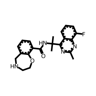 Cc1nc(C(C)(C)NC(=O)c2cccc3c2OCCNC3)c2cccc(F)c2n1